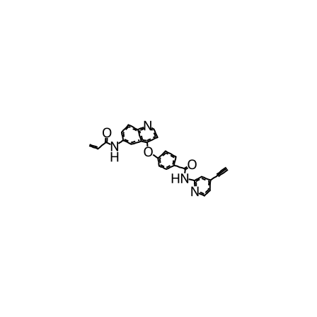 C#Cc1ccnc(NC(=O)c2ccc(Oc3ccnc4ccc(NC(=O)C=C)cc34)cc2)c1